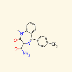 CN1C(=O)C(C(N)=O)N=C(c2ccc(C(F)(F)F)cc2)c2ccccc21